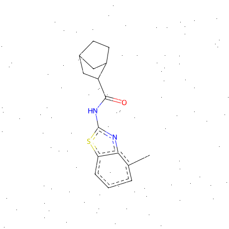 Cc1cccc2sc(NC(=O)C3CC4CCC3C4)nc12